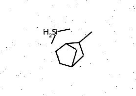 CC1CC2CCC1C2.C[SiH2]C